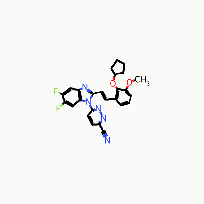 COc1cccc(C=Cc2nc3cc(F)c(F)cc3n2-c2ccc(C#N)nn2)c1OC1CCCC1